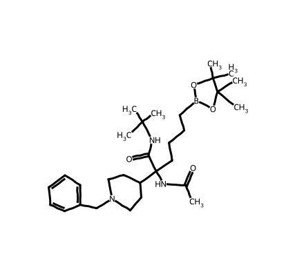 CC(=O)NC(CCCCB1OC(C)(C)C(C)(C)O1)(C(=O)NC(C)(C)C)C1CCN(Cc2ccccc2)CC1